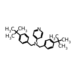 CC(C)(C)c1ccc(CN(Cc2ccc(C(C)(C)C)cc2)c2ccncc2)cc1